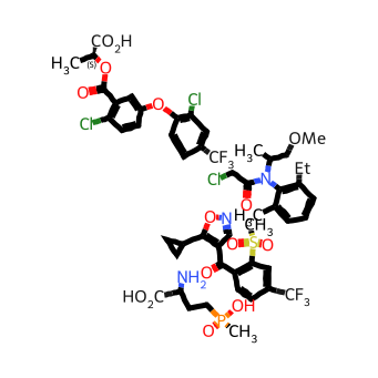 CCc1cccc(C)c1N(C(=O)CCl)C(C)COC.CP(=O)(O)CCC(N)C(=O)O.CS(=O)(=O)c1cc(C(F)(F)F)ccc1C(=O)c1cnoc1C1CC1.C[C@H](OC(=O)c1cc(Oc2ccc(C(F)(F)F)cc2Cl)ccc1Cl)C(=O)O